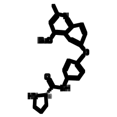 Cc1cc(OCC(C)C)c2cc(Oc3ccc(NC(=O)[C@@H]4CCCN4)cc3)ccc2n1